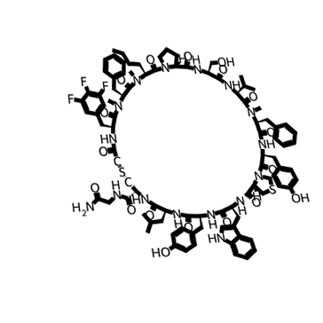 CCCC[C@H]1C(=O)N2CCC[C@@H]2C(=O)N[C@@H](CO)C(=O)N[C@@H](C(C)C)C(=O)N(C)[C@@H](Cc2ccccc2)C(=O)N[C@@H](Cc2ccc(O)cc2)C(=O)N2CSC[C@@H]2C(=O)N[C@@H](Cc2c[nH]c3ccccc23)C(=O)N[C@@H](Cc2ccc(O)cc2)C(=O)N[C@@H](CC(C)C)C(=O)N[C@H](C(=O)NCC(N)=O)CSCC(=O)N[C@@H](Cc2cc(F)c(F)c(F)c2)C(=O)N(C)[C@@H](Cc2ccccc2)C(=O)N1C